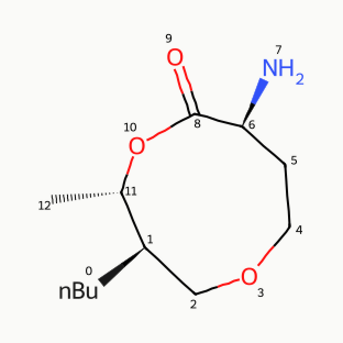 CCCC[C@@H]1COCC[C@H](N)C(=O)O[C@H]1C